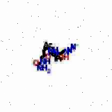 CC(=O)[C@H](CCCNC(N)=O)NC(=O)[C@@H](NC(O)CN=[N+]=[N-])C(C)C